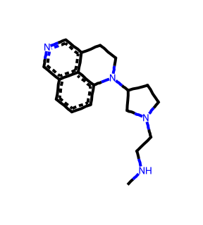 CNCCN1CCC(N2CCc3cncc4cccc2c34)C1